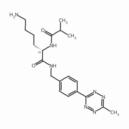 Cc1nnc(-c2ccc(CNC(=O)[C@H](CCCCN)NC(=O)C(C)C)cc2)nn1